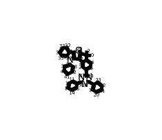 CC1(C)c2ccc(-c3nc(-c4ccccc4)nc(-c4ccccc4)n3)cc2-c2c1oc1c3ccccc3n(-c3ccccc3)c21